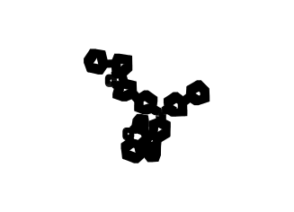 c1ccc(-c2ccc(N(c3ccc(-c4ccc5oc6c(-c7ccccc7)cccc6c5c4)cc3)c3ccc4c(c3)C3(c5ccccc5Oc5ccccc53)c3ccccc3-4)cc2)cc1